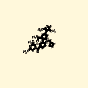 Cc1noc(C)c1-c1cc(C(N)=O)c2c3cc(C(=O)N4CC(C)OC(C)C4)ccc3n(CC3CCC3)c2c1